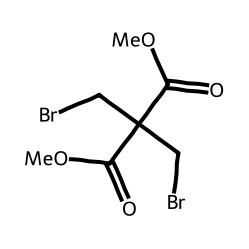 COC(=O)C(CBr)(CBr)C(=O)OC